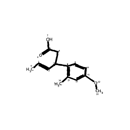 C/C=C/C(CC(=O)O)c1ccc(OC)cc1C